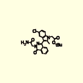 Cc1c(-c2nn(CC(N)=O)c(=O)c3ccccc23)c2cc(Cl)ccc2n1CC(=O)OC(C)(C)C